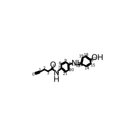 C#CCCC(=O)Nc1ccc(NCc2ccc(O)cc2)cc1